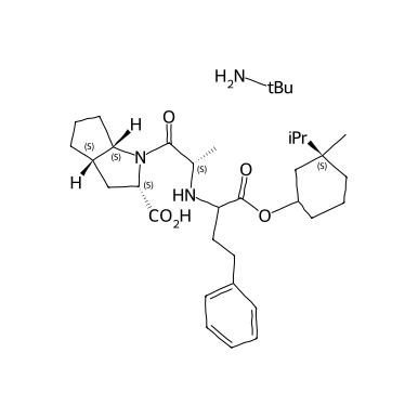 CC(C)(C)N.CC(C)[C@@]1(C)CCCC(OC(=O)C(CCc2ccccc2)N[C@@H](C)C(=O)N2[C@H](C(=O)O)C[C@@H]3CCC[C@@H]32)C1